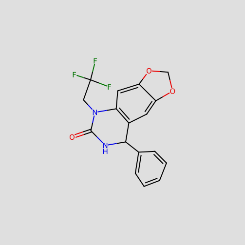 O=C1NC(c2ccccc2)c2cc3c(cc2N1CC(F)(F)F)OCO3